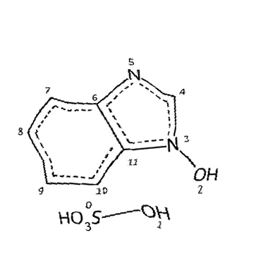 O=S(=O)(O)O.On1cnc2ccccc21